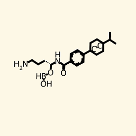 CC(C)C12CCC(c3ccc(C(=O)N[C@@H](CCCN)OBO)cc3)(CC1)CC2